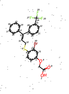 O=C(O)COc1ccc(SCC=C(c2ccccc2)c2cccc(C(F)(F)F)c2)c(Br)c1